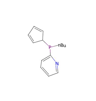 CCCCP(c1ccccn1)C1C=CC=C1